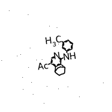 CC(=O)c1cnc(Nc2cccc(C)c2)c2c1C1CCC2CC1